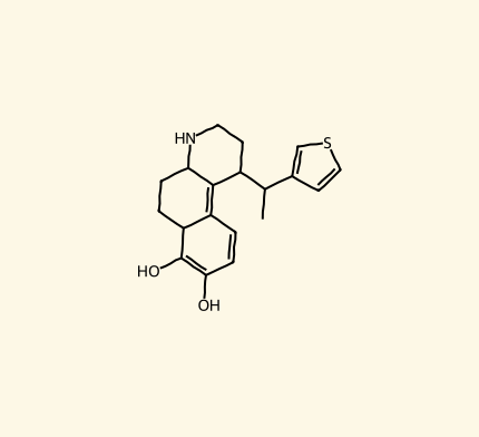 CC(c1ccsc1)C1CCNC2CCC3C(O)=C(O)C=CC3=C21